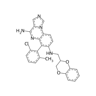 Cc1cccc(Cl)c1-c1c(NCC2COc3ccccc3O2)ccc2c1nc(N)c1cncn12